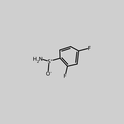 N[S+]([O-])c1ccc(F)cc1F